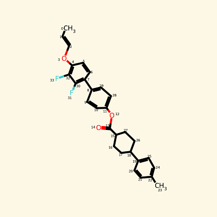 C/C=C/Oc1ccc(-c2ccc(OC(=O)C3CCC(c4ccc(C)cc4)CC3)cc2)c(F)c1F